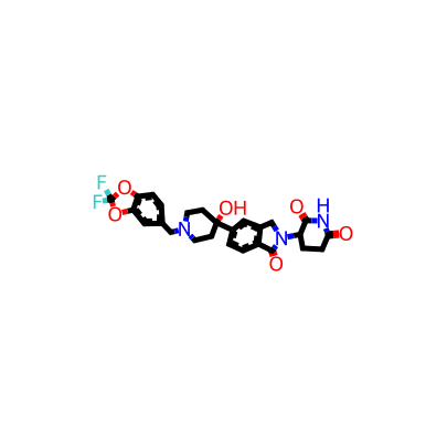 O=C1CCC(N2Cc3cc(C4(O)CCN(Cc5ccc6c(c5)OC(F)(F)O6)CC4)ccc3C2=O)C(=O)N1